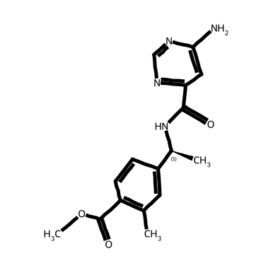 COC(=O)c1ccc([C@H](C)NC(=O)c2cc(N)ncn2)cc1C